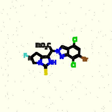 CCOC(=O)C(c1[nH]c(=S)n2c1C[C@@H](F)C2)n1cc2c(Cl)cc(Br)c(Cl)c2n1